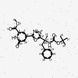 COC(=O)c1cc(-c2nnc([C@@](C)(Cc3ccccc3)NC(=O)OC(C)(C)C)o2)cc(=O)[nH]1